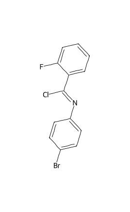 Fc1ccccc1/C(Cl)=N/c1ccc(Br)cc1